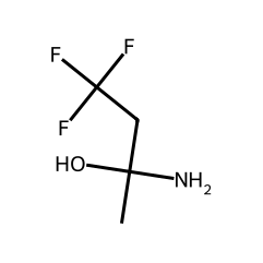 CC(N)(O)CC(F)(F)F